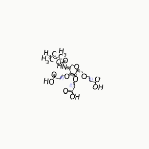 CC(C)(C)OC(=O)N[C@H]1CO[C@H](CO/C=C/C(=O)O)[C@@H](O/C=C/C(=O)O)[C@@H]1O/C=C/C(=O)O